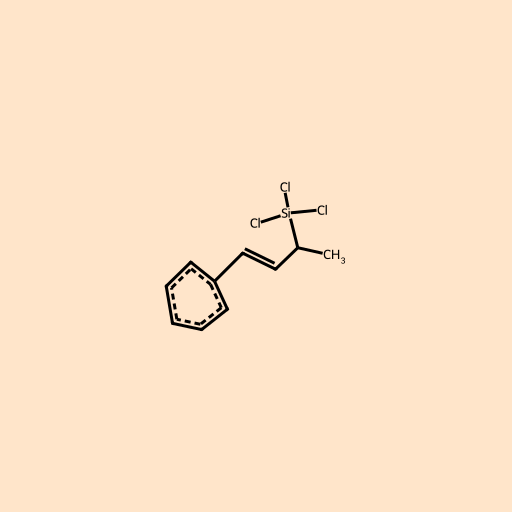 CC(C=Cc1ccccc1)[Si](Cl)(Cl)Cl